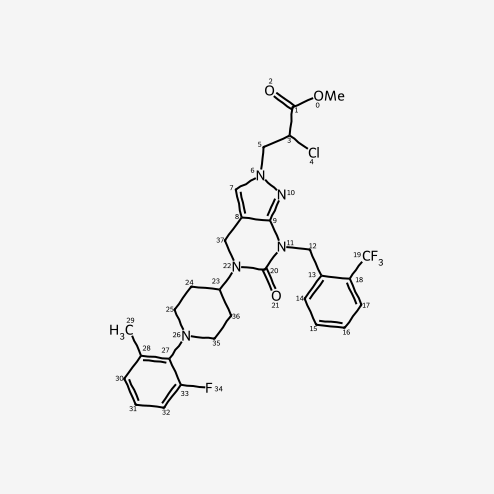 COC(=O)C(Cl)Cn1cc2c(n1)N(Cc1ccccc1C(F)(F)F)C(=O)N(C1CCN(c3c(C)cccc3F)CC1)C2